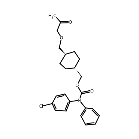 CC(=O)COC[C@H]1CC[C@H](COC(=O)N(c2ccccc2)c2ccc(Cl)cc2)CC1